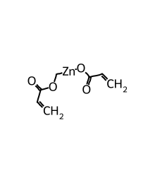 C=CC(=O)O[CH2][Zn][O]C(=O)C=C